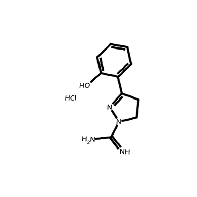 Cl.N=C(N)N1CCC(c2ccccc2O)=N1